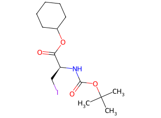 CC(C)(C)OC(=O)N[C@@H](CI)C(=O)OC1CCCCC1